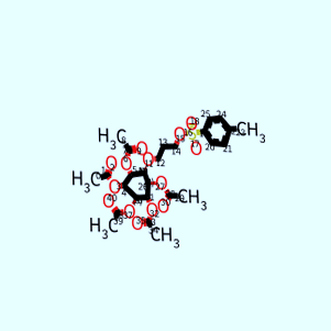 CC(=O)OC1C(OC(C)=O)[C@H](OCCCOS(=O)(=O)c2ccc(C)cc2)[C@@H](OC(C)=O)C(OC(C)=O)[C@H]1OC(C)=O